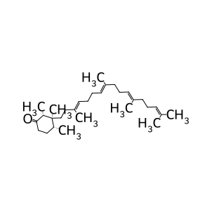 CC(C)=CCC/C(C)=C/CC/C(C)=C/CC/C=C(\C)CC[C@@]1(C)[C@H](C)CCC(=O)[C@@H]1C